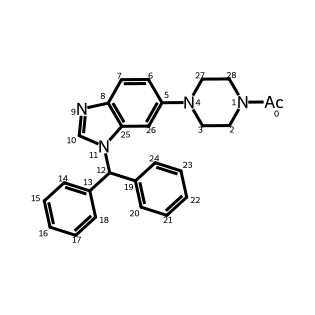 CC(=O)N1CCN(c2ccc3ncn(C(c4ccccc4)c4ccccc4)c3c2)CC1